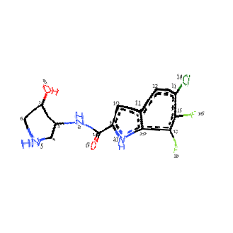 O=C(NC1CNCC1O)c1cc2cc(Cl)c(F)c(F)c2[nH]1